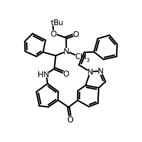 CN(C(=O)OC(C)(C)C)C(C(=O)Nc1cccc(C(=O)c2ccc3cnn(C=Cc4ccccc4)c3c2)c1)c1ccccc1